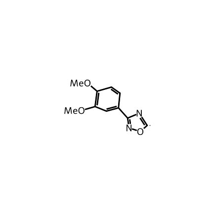 COc1ccc(-c2n[c]on2)cc1OC